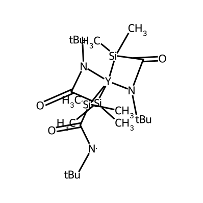 CC(C)(C)[N]C(=O)[Si](C)(C)[Y]12([N](C(C)(C)C)C(=O)[Si]1(C)C)[N](C(C)(C)C)C(=O)[Si]2(C)C